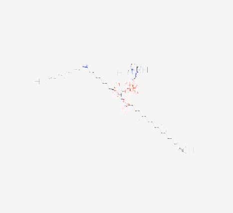 CCCCCCCCC/C=C\CCCCCCCC(=O)O[C@H](COC(=O)CCCCCCCCCCCCCCCCC)COP(=O)([O-])OCC[N+](C)(C)C